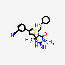 CN1C(=N)N[C@](C)(c2cc(-c3cccc(C#N)c3)cs2)[C@H](CCNC2CCCCC2)C1=O